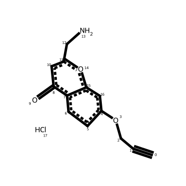 C#CCOc1ccc2c(=O)cc(CN)oc2c1.Cl